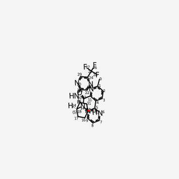 Cc1ccc(-c2ncccn2)c(C(=O)N2[C@@H]3CC[C@H]2[C@H](Nc2cnc(C(F)(F)F)cn2)C3)n1